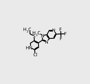 CCSC1=C(c2nc3cc(C(F)(F)F)ncc3n2C)C=C(Cl)NC1